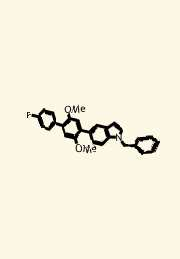 COc1cc(-c2ccc3c(ccn3Cc3ccccc3)c2)c(OC)cc1-c1ccc(F)cc1